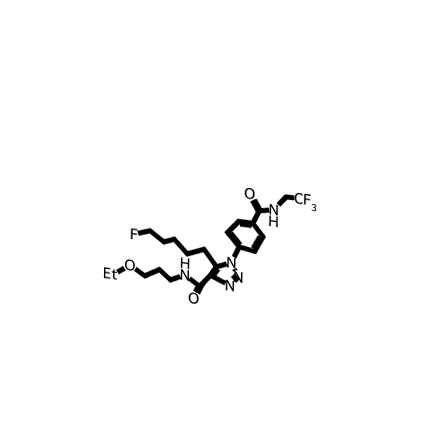 CCOCCCNC(=O)c1nnn(-c2ccc(C(=O)NCC(F)(F)F)cc2)c1CCCCCF